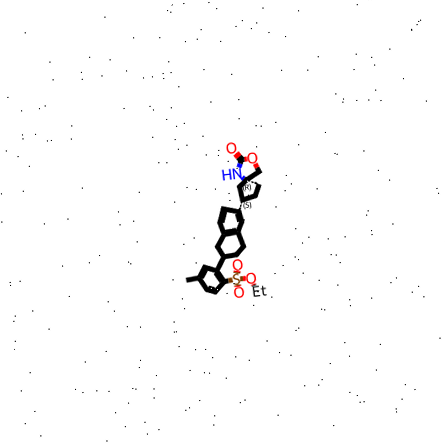 CCOS(=O)(=O)c1ccc(C)cc1C1CCc2cc([C@H]3CC[C@]4(COC(=O)N4)C3)ccc2C1